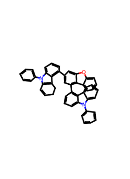 C1=Cc2c(c3c(-c4cc(-c5cccc6c5c5ccccc5n6-c5ccccc5)c5c(c4)oc4ccccc45)cccc3n2-c2ccccc2)CC1